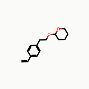 C=Cc1ccc(CCOC2CCCCO2)cc1